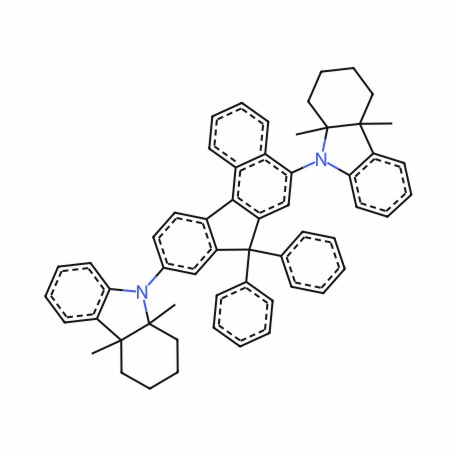 CC12CCCCC1(C)N(c1ccc3c(c1)C(c1ccccc1)(c1ccccc1)c1cc(N4c5ccccc5C5(C)CCCCC45C)c4ccccc4c1-3)c1ccccc12